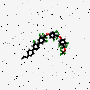 CCCC1CCC(c2ccc(-c3cc(F)c(C(F)(F)Oc4cc(F)c(C(F)(F)Oc5cc(F)c(C(F)(F)OC(F)(F)F)c(F)c5)c(F)c4)c(F)c3)c(F)c2)CC1